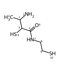 CC(N)C(S)C(=O)NCCS